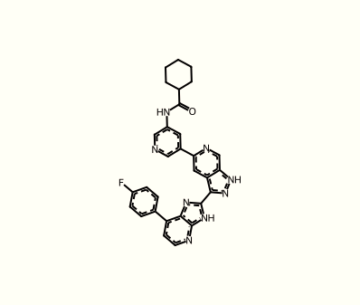 O=C(Nc1cncc(-c2cc3c(-c4nc5c(-c6ccc(F)cc6)ccnc5[nH]4)n[nH]c3cn2)c1)C1CCCCC1